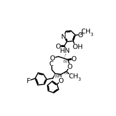 COc1ccnc(C(=O)N[C@H]2COCC[C@H](Cc3ccc(F)cc3)[C@@H](Oc3ccccc3)[C@H](C)OC2=O)c1O